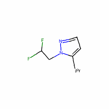 CC(C)c1ccnn1CC(F)F